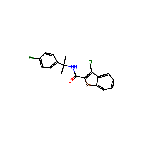 CC(C)(NC(=O)c1sc2ccccc2c1Cl)c1ccc(F)cc1